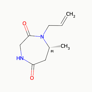 C=CCN1C(=O)CNC(=O)C[C@H]1C